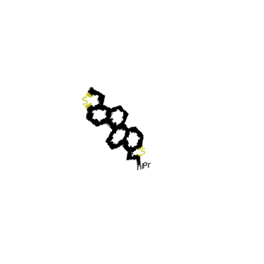 CCCc1cc2c(ccc3c2ccc2c4ccc5sccc5c4ccc32)s1